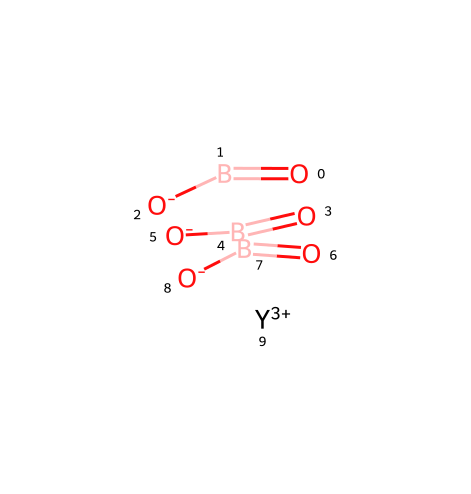 O=B[O-].O=B[O-].O=B[O-].[Y+3]